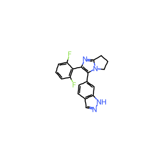 Fc1cccc(F)c1-c1nc2n(c1-c1ccc3cn[nH]c3c1)CCC2